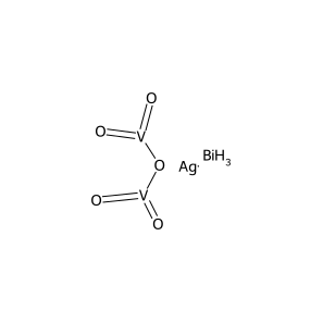 [Ag].[BiH3].[O]=[V](=[O])[O][V](=[O])=[O]